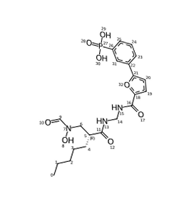 CCCCC[C@H](CN(O)C=O)C(=O)NCNC(=O)c1ccc(-c2cccc(P(=O)(O)O)c2)o1